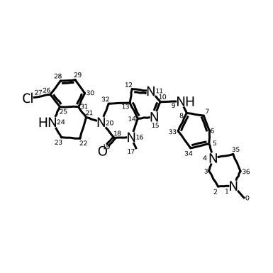 CN1CCN(c2ccc(Nc3ncc4c(n3)N(C)C(=O)N(C3CCNc5c(Cl)cccc53)C4)cc2)CC1